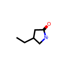 CCC1C[N]C(=O)C1